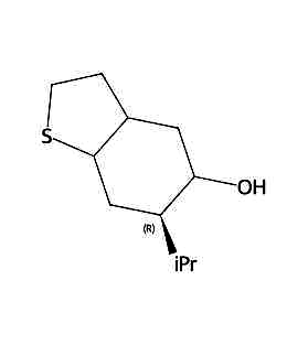 CC(C)[C@H]1CC2SCCC2CC1O